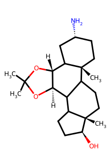 CC1(C)O[C@@H]2C3C(CC[C@@]4(C)C3CC[C@@H]4O)[C@@]3(C)CC[C@@H](N)CC3[C@H]2O1